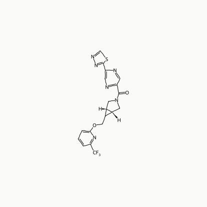 O=C(c1cnc(-c2nncs2)cn1)N1C[C@@H]2C(COc3cccc(C(F)(F)F)n3)[C@@H]2C1